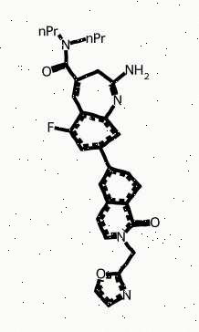 CCCN(CCC)C(=O)C1=Cc2c(F)cc(-c3ccc4c(=O)n(Cc5ncco5)ccc4c3)cc2N=C(N)C1